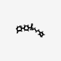 Cc1ccnc(-c2ccc(C(=O)NCCCn3ccnc3)cc2)c1